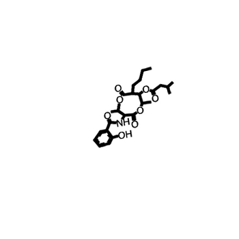 CCCCC1C(=O)OC(C)C(NC(=O)c2ccccc2O)C(=O)OC(C)C1OC(=O)CC(C)C